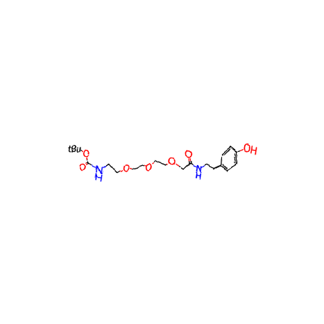 CC(C)(C)OC(=O)NCCOCCOCCOCC(=O)NCCc1ccc(O)cc1